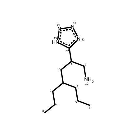 CCCC(CCC)CC(CN)c1nnn[nH]1